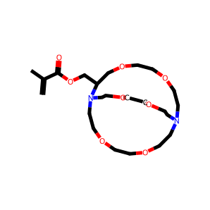 C=C(C)C(=O)OCC1COCCOCCN2CCOCCOCCN1CCOCCOCC2